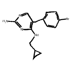 Nc1ncc(-c2ccc(Br)cc2)c(NCC2CC2)n1